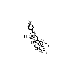 CCOP(=O)(OCC)C(Cc1nc(-c2ccc(Br)cc2)no1)C(=O)OC(C)(C)C